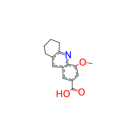 COc1cc(C(=O)O)cc2cc3c(nc12)CCCC3